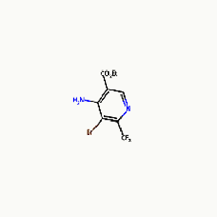 CCOC(=O)c1cnc(C(F)(F)F)c(Br)c1N